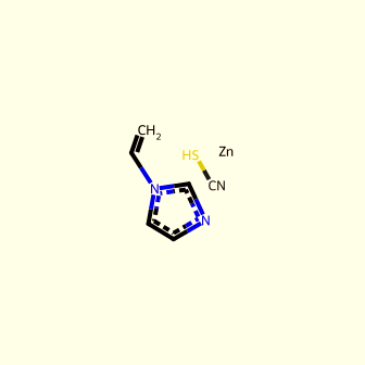 C=Cn1ccnc1.N#CS.[Zn]